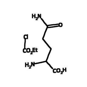 CCOC(=O)Cl.NC(=O)CCC(N)C(=O)O